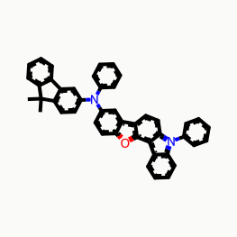 CC1(C)c2ccccc2-c2cc(N(c3ccccc3)c3ccc4oc5c(ccc6c5c5ccccc5n6-c5ccccc5)c4c3)ccc21